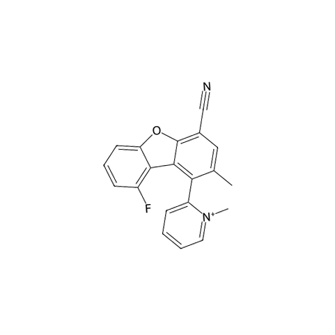 Cc1cc(C#N)c2oc3cccc(F)c3c2c1-c1cccc[n+]1C